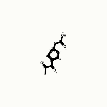 CC(=O)C(=O)c1ccc(CC(=O)O)cc1